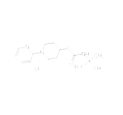 CC(C)(C)NC(=O)OC1CCN(c2ncccc2Cl)CC1